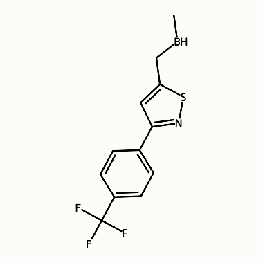 CBCc1cc(-c2ccc(C(F)(F)F)cc2)ns1